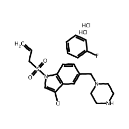 C=CCS(=O)(=O)n1cc(Cl)c2cc(CN3CCNCC3)ccc21.Cl.Cl.Fc1ccccc1